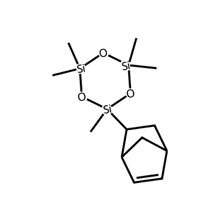 C[Si]1(C)O[Si](C)(C)O[Si](C)(C2CC3C=CC2C3)O1